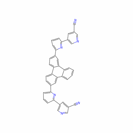 N#Cc1cncc(-c2cccc(-c3ccc4c5ccc(-c6cccc(-c7cncc(C#N)c7)n6)cc5c5ccccc5c4c3)n2)c1